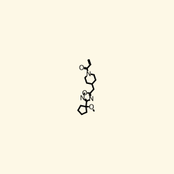 C=CC(=O)N1CCC(Cc2nc(C3(OC)CCCC3)no2)CC1